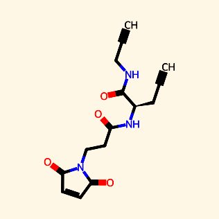 C#CCNC(=O)[C@@H](CC#C)NC(=O)CCN1C(=O)C=CC1=O